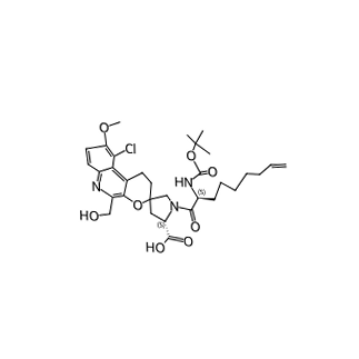 C=CCCCCC[C@H](NC(=O)OC(C)(C)C)C(=O)N1CC2(CCc3c(c(CO)nc4ccc(OC)c(Cl)c34)O2)C[C@H]1C(=O)O